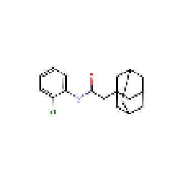 O=C(CC12CC3CC(CC(C3)C1)C2)Nc1ccccc1Cl